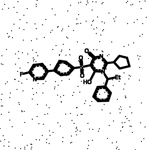 CCC(c1ccccc1)n1c(C2CCCC2)nc(=O)c(S(=O)(=O)c2ccc(-c3ccc(F)nc3)cc2)c1O